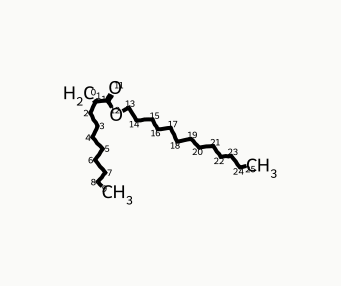 C=C(CCCCCCCC)C(=O)OCCCCCCCCCCCCC